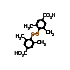 Cc1cc(C(=O)O)cc(C)c1SSc1c(C)cc(C(=O)O)cc1C